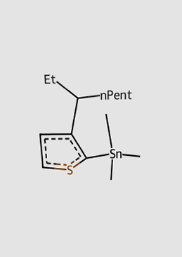 CCCCCC(CC)c1ccs[c]1[Sn]([CH3])([CH3])[CH3]